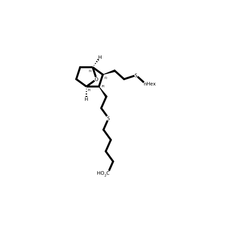 CCCCCCSCC[C@H]1[C@@H](CCSCCCCC(=O)O)[C@H]2CC[C@@H]1O2